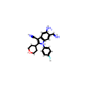 N#Cc1c(C2CCOCC2)n(-c2ccc(F)cc2)c2cc(C=N)c(N)cc12